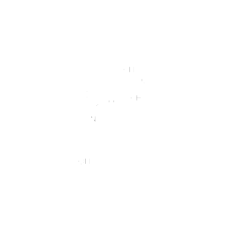 CC(C)(C)COC(=O)N1CCC(O)CC1